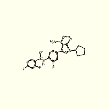 Nc1ncnc2c1c(-c1ccc(N[S+]([O-])c3ccc(F)cc3F)c(F)c1)cn2C1CCCC1